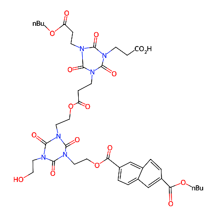 CCCCOC(=O)CCn1c(=O)n(CCC(=O)O)c(=O)n(CCC(=O)OCCn2c(=O)n(CCO)c(=O)n(CCOC(=O)c3ccc4cc(C(=O)OCCCC)ccc4c3)c2=O)c1=O